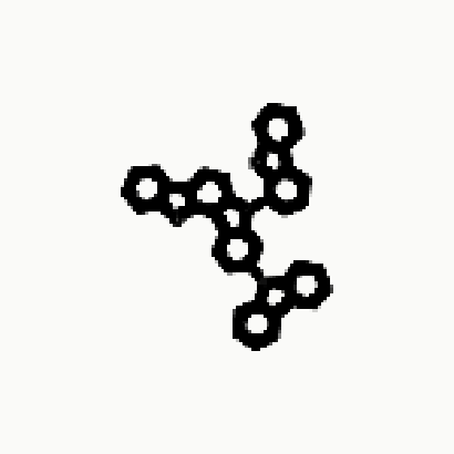 c1ccc2c(c1)oc1c2ccc2c1c1ccc(-n3c4ccccc4c4ccccc43)cc1n2-c1cccc2c1sc1ccccc12